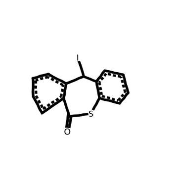 O=C1Sc2ccccc2C(I)c2ccccc21